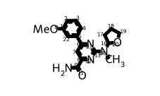 COc1cccc(-c2cc(C(N)=O)nc(N(C)C3CCCO3)n2)c1